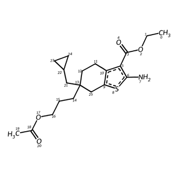 CCOC(=O)c1c(N)sc2c1CCC(CCCOC(C)=O)(CC1CC1)C2